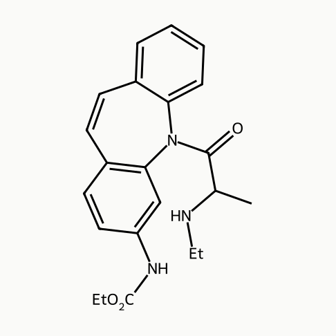 CCNC(C)C(=O)N1c2ccccc2C=Cc2ccc(NC(=O)OCC)cc21